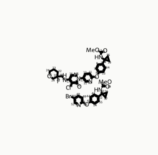 COC(=O)NC1(c2ccc(Oc3ccc(-n4ncc(NC[C@@]5(F)CCCOC5)c(Cl)c4=O)cn3)cc2)CC1.COC(=O)NC1(c2ccc(Oc3ccc(Br)cn3)cc2)CC1